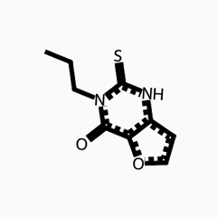 CCCn1c(=S)[nH]c2ccoc2c1=O